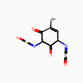 CCCCC1=CC(N=C=O)C(=O)C(N=C=O)C1=O